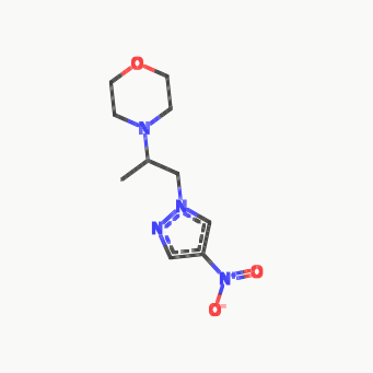 CC(Cn1cc([N+](=O)[O-])cn1)N1CCOCC1